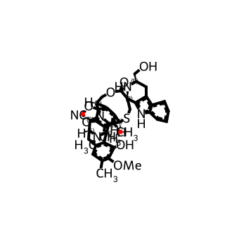 COc1c(C)cc2c(c1O)[C@@H]1[C@@H]3[C@@H]4SC[C@]5(N[C@@H](CO)Cc6c5[nH]c5ccccc65)C(=O)OC[C@@H](c5c6c(c(C)c(C)c54)OCO6)N3[C@@H](C#N)[C@H](C2)N1C